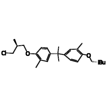 CC[C@@H](C)COc1ccc(C(C)(C)c2ccc(OC[C@H](C)CCl)c(C)c2)cc1C